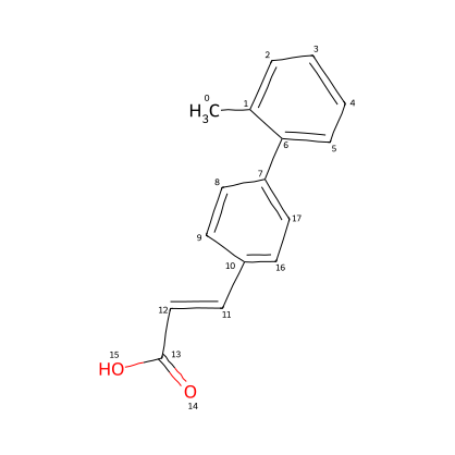 Cc1ccccc1-c1ccc(C=CC(=O)O)cc1